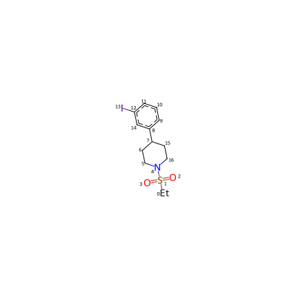 CCS(=O)(=O)N1CCC(c2cccc(I)c2)CC1